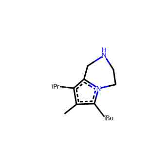 CCC(C)c1c(C)c(C(C)C)c2n1CCNC2